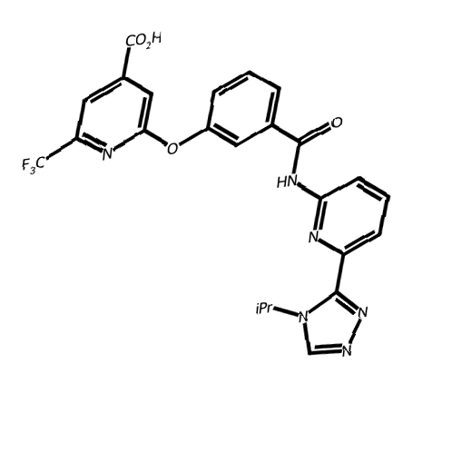 CC(C)n1cnnc1-c1cccc(NC(=O)c2cccc(Oc3cc(C(=O)O)cc(C(F)(F)F)n3)c2)n1